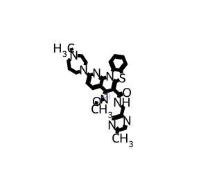 CO/N=c1/c(C(=O)NCc2cnc(C)cn2)c2sc3ccccc3n2c2nc(N3CCCN(C)CC3)ccc12